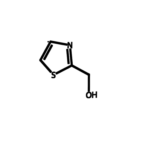 OCc1n[c]cs1